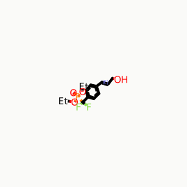 CCOP(=O)(OCC)C(F)(F)c1ccc(/C=C/CO)cc1